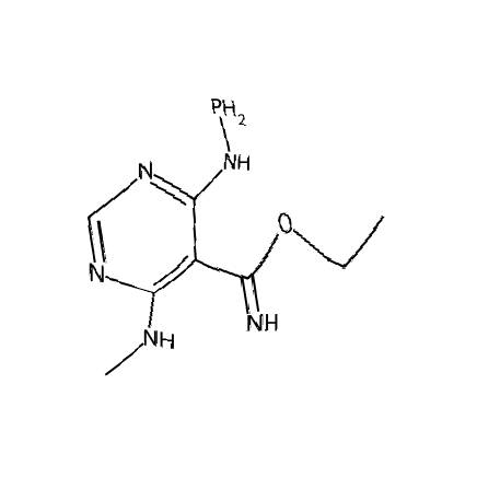 CCOC(=N)c1c(NC)ncnc1NP